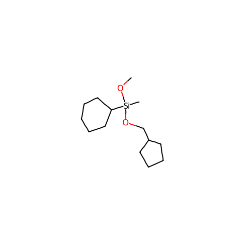 CO[Si](C)(OCC1CCCC1)C1CCCCC1